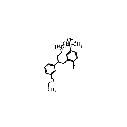 CCOc1cccc(C(CCNC)Cc2cc(C(C)(C)C)ccc2F)c1